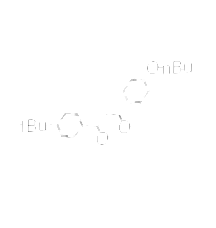 CCCCOc1ccc(C(=O)CC(=O)c2ccc(C(C)(C)C)cc2)cc1